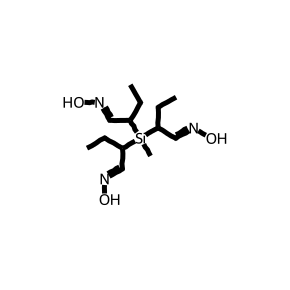 CCC(C=NO)[Si](C)(C(C=NO)CC)C(C=NO)CC